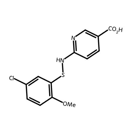 COc1ccc(Cl)cc1SNc1ccc(C(=O)O)cn1